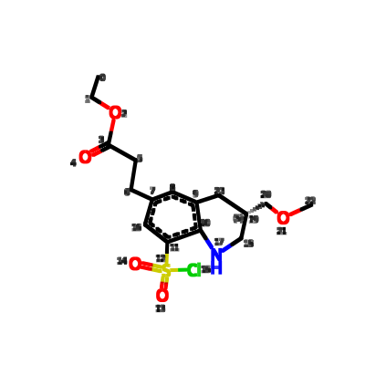 CCOC(=O)CCc1cc2c(c(S(=O)(=O)Cl)c1)NC[C@@H](COC)C2